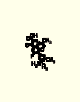 CC1CN(c2c(F)cc3c(=O)c(C(=O)O)cn4c3c2OC[C@@H]4C)CC1(C)N